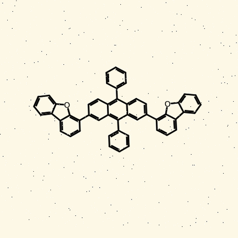 c1ccc(-c2c3ccc(-c4cccc5c4oc4ccccc45)cc3c(-c3ccccc3)c3cc(-c4cccc5c4oc4ccccc45)ccc23)cc1